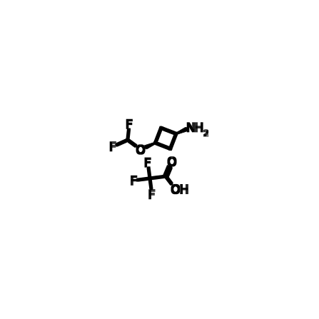 N[C@H]1C[C@@H](OC(F)F)C1.O=C(O)C(F)(F)F